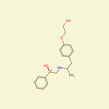 CC(Cc1ccc(OCCO)cc1)NC[C@H](O)c1ccccc1